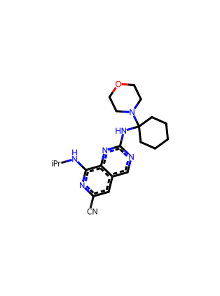 CC(C)Nc1nc(C#N)cc2cnc(NC3(N4CCOCC4)CCCCC3)nc12